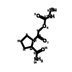 CC(C)(C)NC(=O)OCC(=O)N1CCCC1C(N)=O